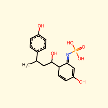 CC(CC(O)C1C=CC(O)=C/C1=N\P(=O)(O)O)c1ccc(O)cc1